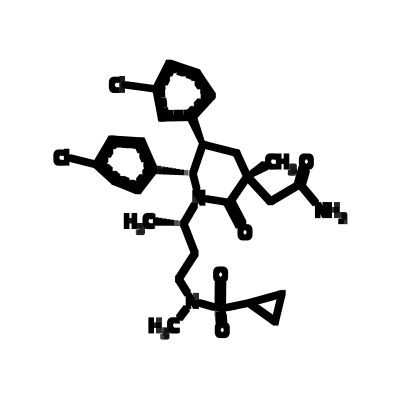 C[C@@H](CCN(C)S(=O)(=O)C1CC1)N1C(=O)[C@@](C)(CC(N)=O)C[C@H](c2cccc(Cl)c2)[C@H]1c1ccc(Cl)cc1